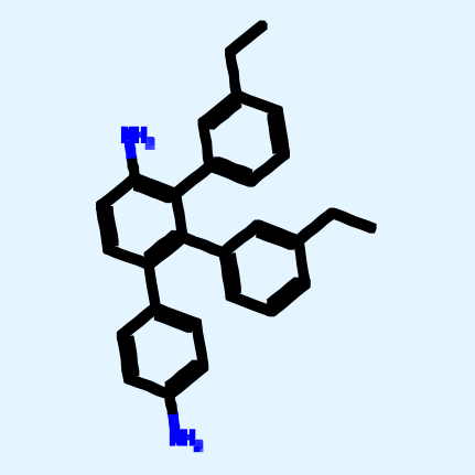 CCc1cccc(-c2c(N)ccc(-c3ccc(N)cc3)c2-c2cccc(CC)c2)c1